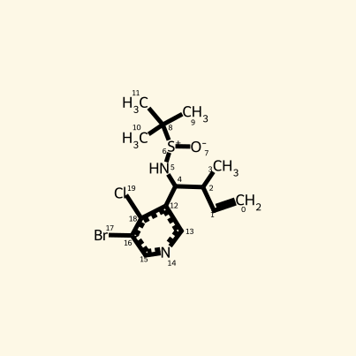 C=CC(C)C(N[S+]([O-])C(C)(C)C)c1cncc(Br)c1Cl